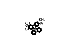 COc1cc2[c](cc1Br)[Ge]([c]1ccccc1)([c]1ccccc1)[c]1cc(Br)c(OC)cc1-2